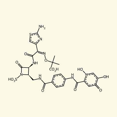 CC(C)(ON=C(C(=O)N[C@@H]1C(=O)N(S(=O)(=O)O)[C@@H]1CNC(=O)c1ccc(NC(=O)c2cc(=O)c(O)cn2O)cc1)c1csc(N)n1)C(=O)O